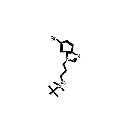 CC(C)(C)[Si](C)(C)OCCCn1cnc2ccc(Br)cc21